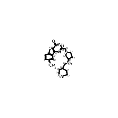 Cc1ccc2oc3c(=O)[nH]c(CN4CCC(NCC5CCNCC5)C4)nc3c2c1